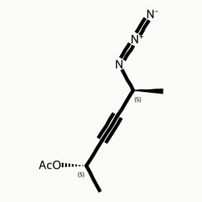 CC(=O)O[C@@H](C)C#C[C@H](C)N=[N+]=[N-]